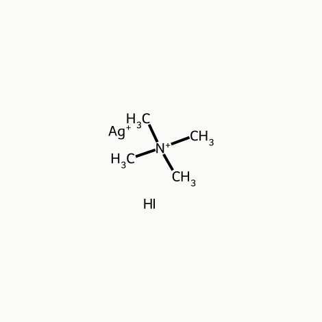 C[N+](C)(C)C.I.[Ag+]